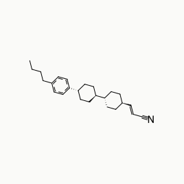 CCCCc1ccc([C@H]2CC[C@H]([C@H]3CC[C@H](C=CC#N)CC3)CC2)cc1